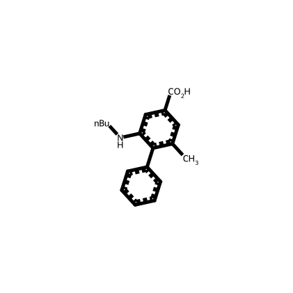 CCCCNc1cc(C(=O)O)cc(C)c1-c1ccccc1